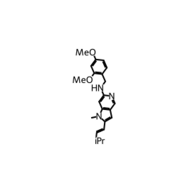 COc1ccc(CNc2cc3c(cn2)cc(/C=C/C(C)C)n3C)c(OC)c1